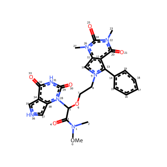 CON(C)C(=O)C(OCCn1cc2c(c1-c1ccccc1)c(=O)n(C)c(=O)n2C)n1c(=O)[nH]c(=O)c2c[nH]cc21